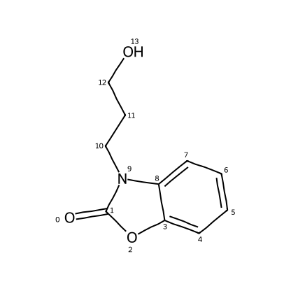 O=c1oc2ccccc2n1CCCO